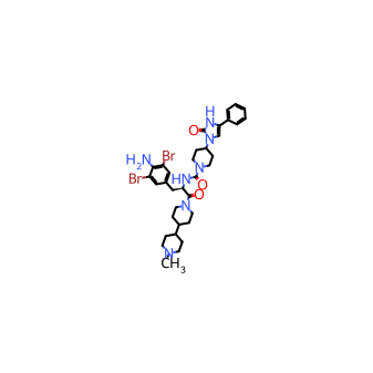 CN1CCC(C2CCN(C(=O)[C@@H](Cc3cc(Br)c(N)c(Br)c3)NC(=O)N3CCC(n4cc(-c5ccccc5)[nH]c4=O)CC3)CC2)CC1